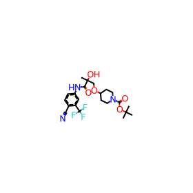 CC(C)(C)OC(=O)N1CCC(OCC(C)(O)C(=O)Nc2ccc(C#N)c(C(F)(F)F)c2)CC1